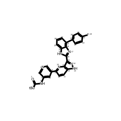 CC(C)(C)C(=O)Nc1cncc(-c2ccc3[nH]nc(-c4nc5c(-c6ccc(F)cc6)cccc5[nH]4)c3n2)c1